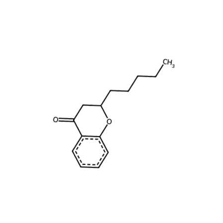 CCCCCC1CC(=O)c2ccccc2O1